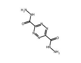 NNC(=O)c1nnc(C(=O)NN)nn1